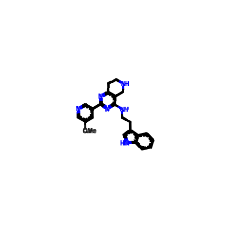 COc1cncc(-c2nc3c(c(NCCc4c[nH]c5ccccc45)n2)CNCC3)c1